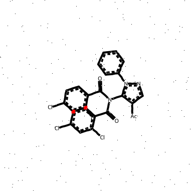 CC(=O)c1cnn(-c2ccccc2)c1N(C(=O)c1ccc(Cl)cc1Cl)C(=O)c1ccc(Cl)cc1Cl